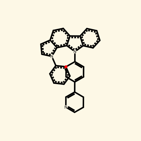 C1=NC=C(C2=CC=C(n3c4ccccc4c4ccc5ccn(-c6ccccc6)c5c43)CC2)CC1